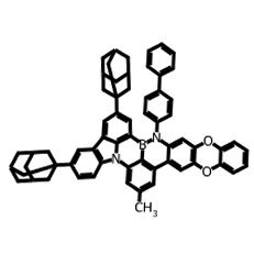 Cc1cc2c3c(c1)-n1c4ccc(C56CC7CC(CC(C7)C5)C6)cc4c4cc(C56CC7CC(CC(C7)C5)C6)cc(c41)B3N(c1ccc(-c3ccccc3)cc1)c1cc3c(cc1-2)Oc1ccccc1O3